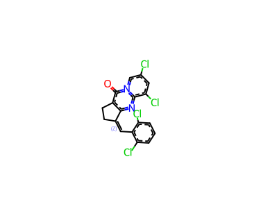 O=c1c2c(nc3c(Cl)cc(Cl)cn13)/C(=C\c1c(Cl)cccc1Cl)CC2